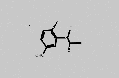 O=Cc1ccc(Cl)c(C(F)C(F)F)c1